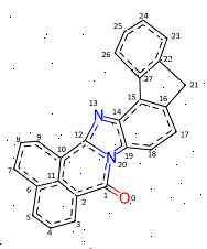 O=c1c2cccc3cccc(c32)c2nc3c4c(ccc3n12)Cc1ccccc1-4